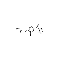 O=C(O)COc1ccc(C(=O)c2cccs2)cc1I